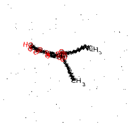 CCCCCCCCCCCCCCOC(=O)C1OC(c2ccc(C(=O)OCCCOC(=O)CCCC(=O)O)cc2)OC1C(=O)OCCCCCCCCCCCCCC